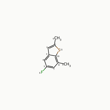 Cc1cc2cc(F)cc(C)c2s1